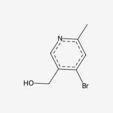 Cc1cc(Br)c(CO)cn1